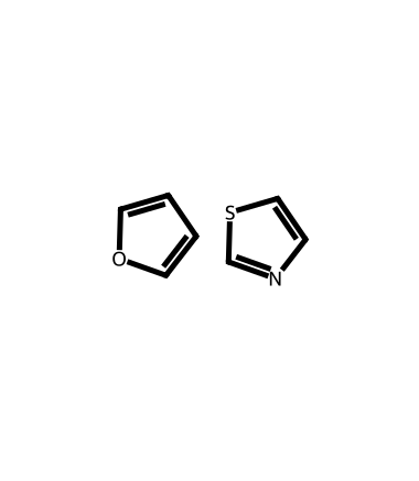 c1ccoc1.c1cscn1